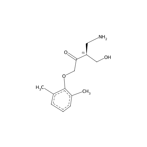 Cc1cccc(C)c1OCC(=O)[C@@H](CN)CO